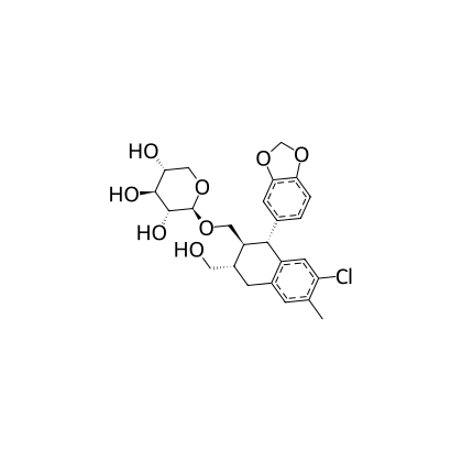 Cc1cc2c(cc1Cl)[C@@H](c1ccc3c(c1)OCO3)[C@H](CO[C@@H]1OC[C@@H](O)[C@H](O)[C@H]1O)[C@@H](CO)C2